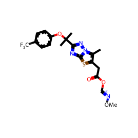 CO/N=C/OC(=O)Cc1sc2nc(C(C)(C)Oc3ccc(C(F)(F)F)cc3)nn2c1C